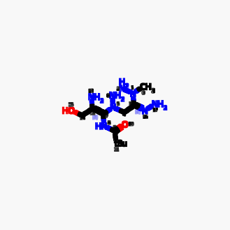 CN(N)/C(CN(N)/C(NC(=O)C(C)(C)C)=C(\N)CO)=N\N